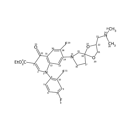 CCOC(=O)c1cn(-c2ccc(F)cc2F)c2cc(N3CCC4(C3)OCC(CN(C)C)O4)c(F)cc2c1=O